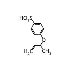 C=CC(C)Oc1ccc(S(=O)(=O)O)cc1